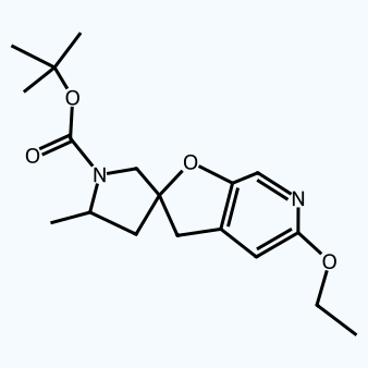 CCOc1cc2c(cn1)OC1(C2)CC(C)N(C(=O)OC(C)(C)C)C1